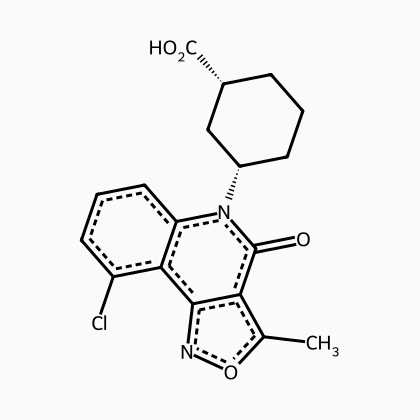 Cc1onc2c1c(=O)n([C@H]1CCC[C@@H](C(=O)O)C1)c1cccc(Cl)c21